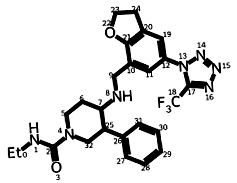 CCNC(=O)N1CCC(NCc2cc(-n3nnnc3C(F)(F)F)cc3c2OCC3)C(c2ccccc2)C1